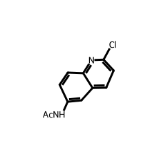 CC(=O)Nc1ccc2nc(Cl)ccc2c1